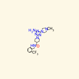 CN1CCN(c2nc(N)nc(N3CCC(C(=O)NCc4ccccc4C(F)(F)F)CC3)n2)CC1